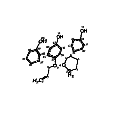 C1CC[SiH2]OC1.C=CCOc1ccc(O)cc1.Oc1ccccc1.Oc1ccccc1